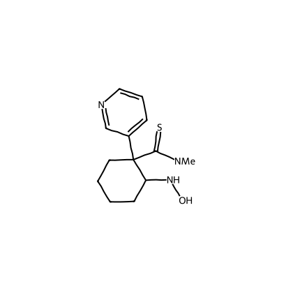 CNC(=S)C1(c2cccnc2)CCCCC1NO